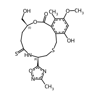 COc1cc(O)c2c(c1C)C(=O)O[C@H](CO)CCC(=S)N[C@H](c1nc(C)no1)CSC2